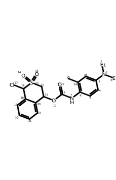 CCN(CC)c1ccc(NC(=O)OC2CS(=O)(=O)C(Cl)c3ccccc32)c(C)c1